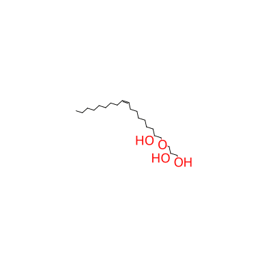 CCCCCCCC/C=C\CCCCCCC(O)COCC(O)CO